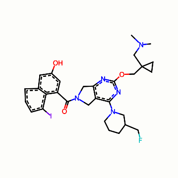 CN(C)CC1(COc2nc3c(c(N4CCCC(CF)C4)n2)CN(C(=O)c2cc(O)cc4cccc(I)c24)C3)CC1